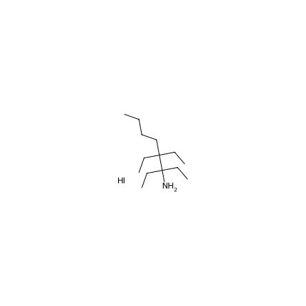 CCCCC(CC)(CC)C(N)(CC)CC.I